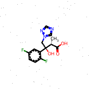 C[C@H](C(=O)O)[C@@](O)(Cn1cncn1)c1cc(F)ccc1F